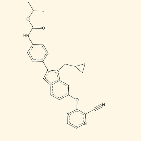 CC(C)OC(=O)Nc1ccc(-c2cc3ccc(Oc4nccnc4C#N)cc3n2CC2CC2)cc1